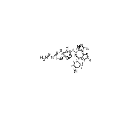 Cc1sc2c(c1C)C(c1ccc(Cl)cc1)=N[C@@H](CC(=O)NC(CC#CCCN)C(=O)O)c1nnc(C)n1-2